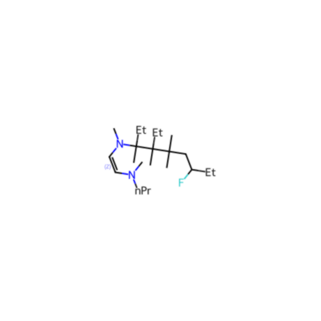 CCCN(C)/C=C\N(C)C(C)(CC)C(C)(CC)C(C)(C)CC(F)CC